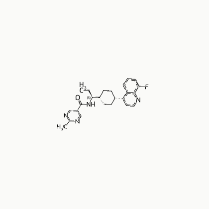 CC[C@H](NC(=O)c1cnc(C)nc1)[C@H]1CC[C@@H](c2ccnc3c(F)cccc32)CC1